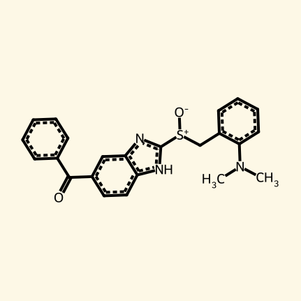 CN(C)c1ccccc1C[S+]([O-])c1nc2cc(C(=O)c3ccccc3)ccc2[nH]1